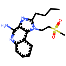 CCCCc1nc2c(N)nc3ccccc3c2n1CCS(C)(=O)=O